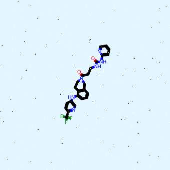 O=C(NCCC(=O)N1CCc2c(cccc2Nc2ccc(C(F)(F)F)nc2)C1)Nc1ccccn1